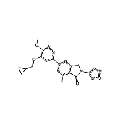 COc1ncc(-c2cc(C)c3c(n2)CN(c2cn[nH]c2)C3=O)cc1OCC1CC1